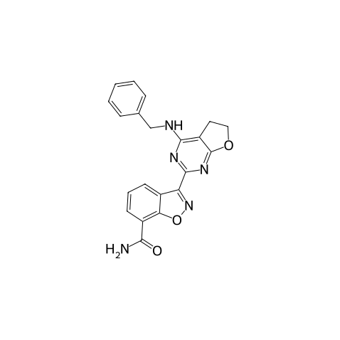 NC(=O)c1cccc2c(-c3nc(NCc4ccccc4)c4c(n3)OCC4)noc12